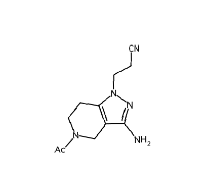 CC(=O)N1CCc2c(c(N)nn2CCC#N)C1